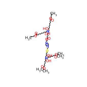 CCCCOC(=O)CCCCCCC(O)CN(CCCCC(=O)OCCN1CCN(CCSSCCCCN(CC(O)CCCCC(=O)OC(C)C)CC(O)CCCCC(=O)OC(C)C)CC1)CC(O)CCCCCCC(=O)OCCCC